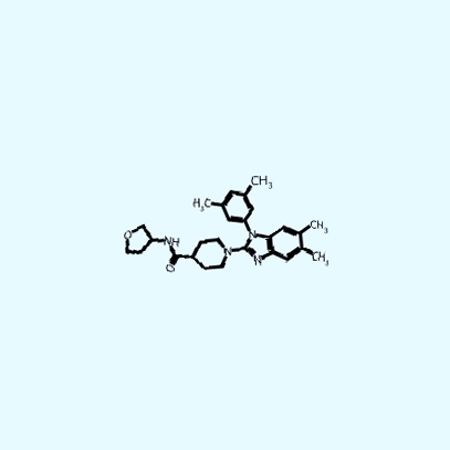 Cc1cc(C)cc(-n2c(N3CCC(C(=O)NC4CCOC4)CC3)nc3cc(C)c(C)cc32)c1